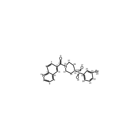 O=C(c1ccc2ncccc2c1)N1CCN(S(=O)(=O)c2cccc(Br)c2)CC1